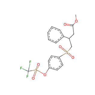 COC(=O)CC(CS(=O)(=O)c1ccc(OS(=O)(=O)C(F)(F)F)cc1)c1ccccc1